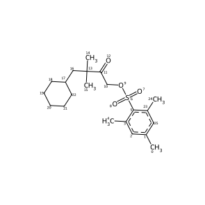 Cc1cc(C)c(S(=O)(=O)OCC(=O)C(C)(C)CC2CCCCC2)c(C)c1